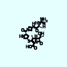 C[C@@H](NC(=N)N)C(=O)NC1CN(C(=O)[C@@H]2C[C@H](SC3=C(C(=O)O)N4C(=O)[C@H]([C@@H](C)O)[C@H]4[C@H]3C)CN2)C1